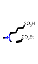 C=CC(=O)OCC.CN(C)CCCCS(=O)(=O)O